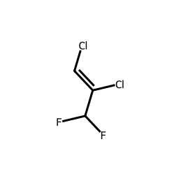 FC(F)C(Cl)=CCl